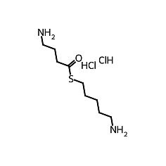 Cl.Cl.NCCCCCSC(=O)CCCN